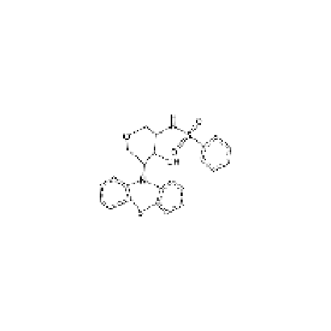 O=S(=O)(NC1COCC(N2c3ccccc3Sc3ccccc32)C1O)c1ccccc1